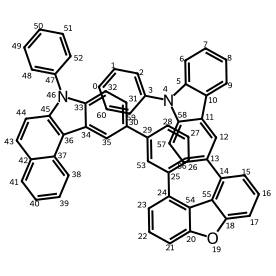 c1ccc(-n2c3ccccc3c3cc(-c4cccc5oc6cccc(-c7cccc(-c8ccc9c(c8)c8c%10ccccc%10ccc8n9-c8ccccc8)c7)c6c45)ccc32)cc1